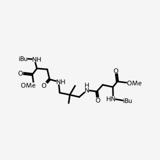 CCC(C)NC(CC(=O)NCC(C)(C)CNC(=O)CC(NC(C)CC)C(=O)OC)C(=O)OC